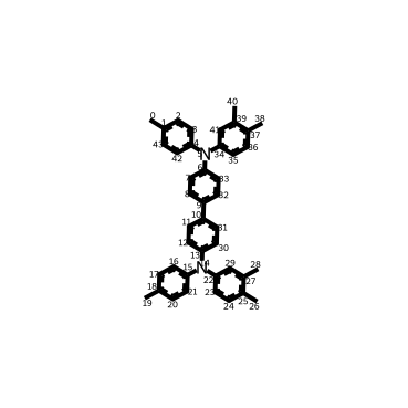 Cc1ccc(N(c2ccc(-c3ccc(N(c4ccc(C)cc4)c4ccc(C)c(C)c4)cc3)cc2)c2ccc(C)c(C)c2)cc1